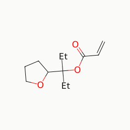 C=CC(=O)OC(CC)(CC)C1CCCO1